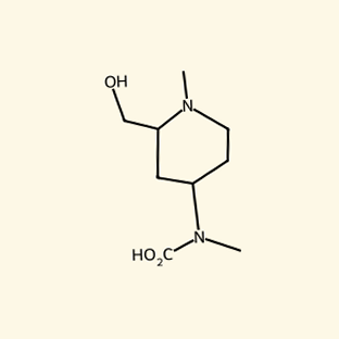 CN1CCC(N(C)C(=O)O)CC1CO